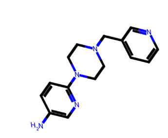 Nc1ccc(N2CCN(Cc3cccnc3)CC2)nc1